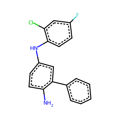 Nc1ccc(Nc2ccc(F)cc2Cl)cc1-c1ccccc1